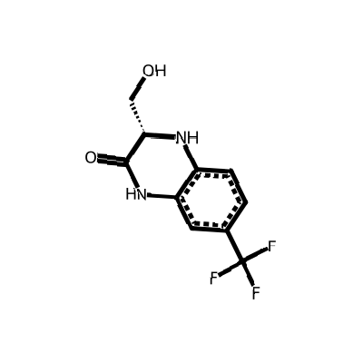 O=C1Nc2cc(C(F)(F)F)ccc2N[C@H]1CO